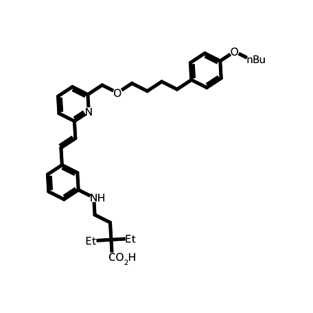 CCCCOc1ccc(CCCCOCc2cccc(C=Cc3cccc(NCCC(CC)(CC)C(=O)O)c3)n2)cc1